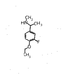 CCOc1ccc(C(C)NC)cc1F